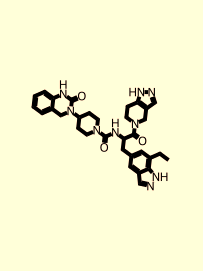 CCc1cc(CC(NC(=O)N2CCC(N3Cc4ccccc4NC3=O)CC2)C(=O)N2CCc3[nH]ncc3C2)cc2cn[nH]c12